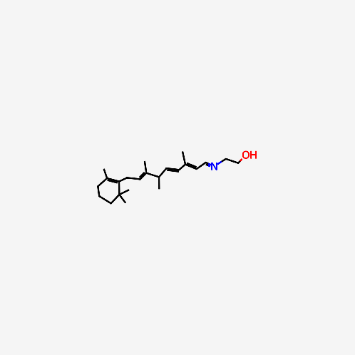 CC1=C(C/C=C(\C)C(C)/C=C/C(C)=C/C=N/CCO)C(C)(C)CCC1